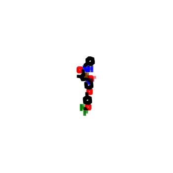 Cc1cc([N+]2([O-])C=CC(OCc3ccc(OC(F)F)cc3)=CC2)sc1C(=O)NCc1ccccc1